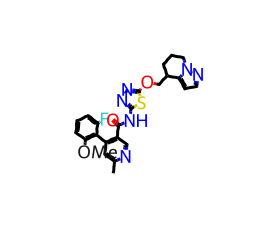 COc1cccc(F)c1-c1cc(C)ncc1C(=O)Nc1nnc(OCC2CCCn3nccc32)s1